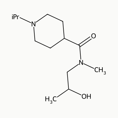 CC(O)CN(C)C(=O)C1CCN(C(C)C)CC1